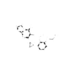 CCOc1cccc([C@@H]2C[C@H]2c2nc3sccn3c(=O)c2C)c1OC